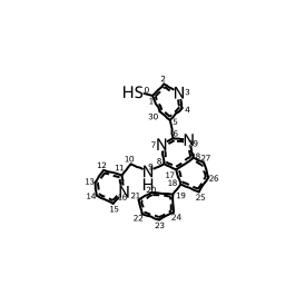 Sc1cncc(-c2nc(NCc3ccccn3)c3c(-c4ccccc4)cccc3n2)c1